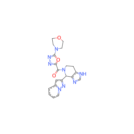 O=C(c1nnc(N2CCOCC2)o1)N1CCc2[nH]cnc2C1c1cc2ccccn2n1